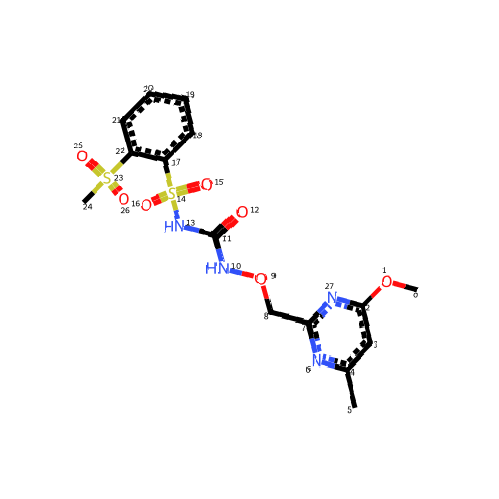 COc1cc(C)nc(CONC(=O)NS(=O)(=O)c2ccccc2S(C)(=O)=O)n1